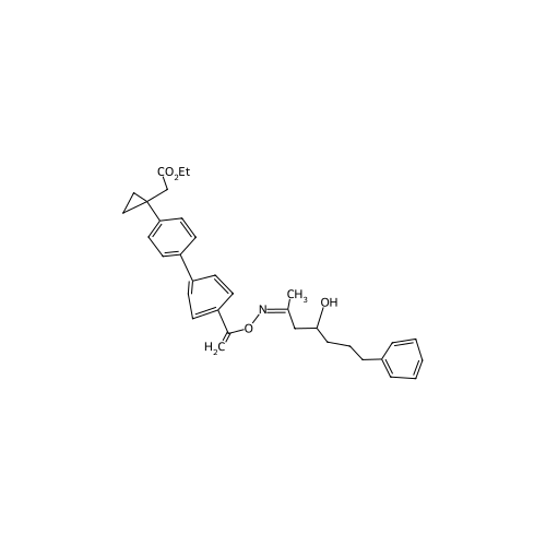 C=C(O/N=C(/C)CC(O)CCCc1ccccc1)c1ccc(-c2ccc(C3(CC(=O)OCC)CC3)cc2)cc1